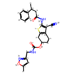 Cc1cc(CNC(=O)OC2CCc3c(sc(NC(=O)CC(C)c4ccccc4)c3C#N)C2)no1